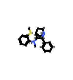 CSc1ccccc1N(C)C1C2CCN(C2)C1c1ccccc1